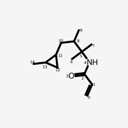 C=CC(=O)NC(C)(C)C(C)CC1CC1C